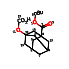 CCCCOC(=O)C12CC3CC(CC(OC(=O)O)(C3)C1)C2